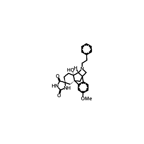 COc1ccc2c(c1)[C@]13CC24CN(CCc2ccccc2)[C@H]4[C@]1(O)CC[C@@]1(C3)NC(=O)NC1=O